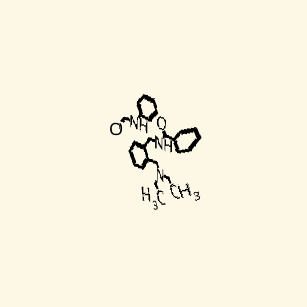 CCN(CC)Cc1ccccc1CNC(=O)c1ccccc1.O=CNc1ccccc1